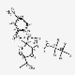 CC(Br)C(=O)OC1[C@@H](CO[Si](C)(C)C(C)(C)C)O[C@@H](n2ccc(N)nc2=O)C1(F)F